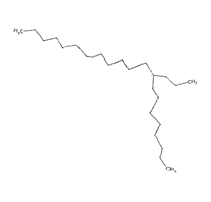 CCCCCCCCCCCC[C](CCC)CCCCCCCC